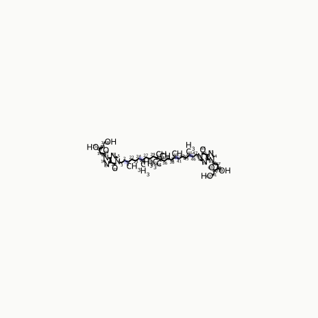 C/C(=C\Cn1cnc2c(ncn2[C@H]2C[C@@H](O)[C@@H](CO)O2)c1=O)CC/C=C(\C)CCCC(C)(C)C(C)(C)CCC/C(C)=C/CC/C(C)=C/Cn1cnc2c(ncn2[C@H]2C[C@@H](O)[C@@H](CO)O2)c1=O